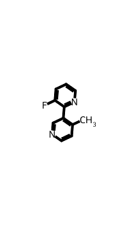 Cc1ccncc1-c1ncccc1F